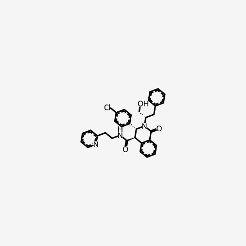 O=C(NCCc1ccccn1)[C@@H]1c2ccccc2C(=O)N([C@H](CO)Cc2ccccc2)[C@H]1c1ccc(Cl)cc1